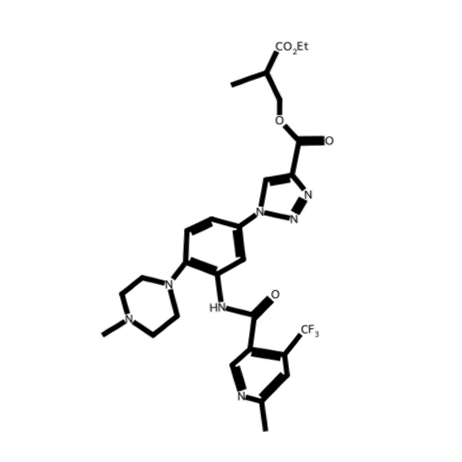 CCOC(=O)C(C)COC(=O)c1cn(-c2ccc(N3CCN(C)CC3)c(NC(=O)c3cnc(C)cc3C(F)(F)F)c2)nn1